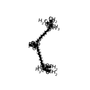 C=CC(=O)OCC(C)(COC(=O)C=C)NC(=O)OCCCCCCCCCSCCCn1c(=O)n(CCCSCCCCCCCCCOC(=O)NC(C)(COC(=O)C=C)COC(=O)C=C)c(=O)n(CC(F)(F)F)c1=O